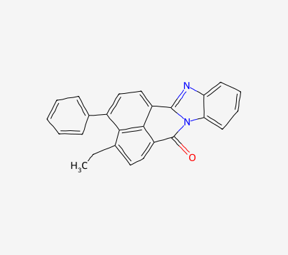 CCc1ccc2c(=O)n3c4ccccc4nc3c3ccc(-c4ccccc4)c1c23